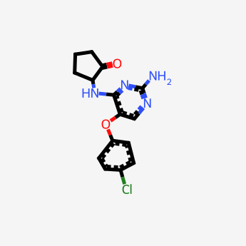 Nc1ncc(Oc2ccc(Cl)cc2)c(NC2CCCC2=O)n1